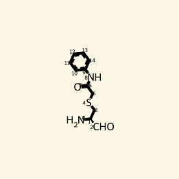 N[C@H](C=O)CSCC(=O)Nc1cc[c]cc1